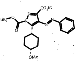 CCOC(=O)c1nn(C(=O)OC(C)(C)C)c([C@H]2CC[C@@H](OC)CC2)c1/N=N/c1ccccc1